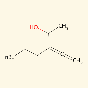 C=C=C(CCCCCC)C(C)O